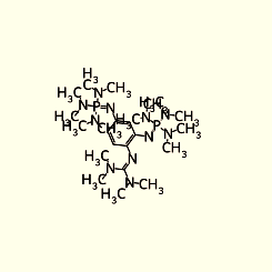 CN(C)C(=Nc1ccc(N=P(N(C)C)(N(C)C)N(C)C)cc1N=P(N(C)C)(N(C)C)N(C)C)N(C)C